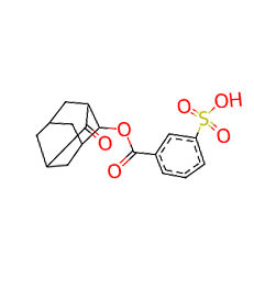 O=C(OC1C2CC3CC(C2)C(=O)C1C3)c1cccc(S(=O)(=O)O)c1